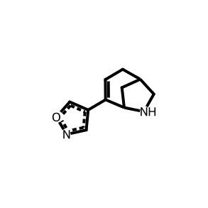 C1=C(c2cnoc2)C2CC(C1)CN2